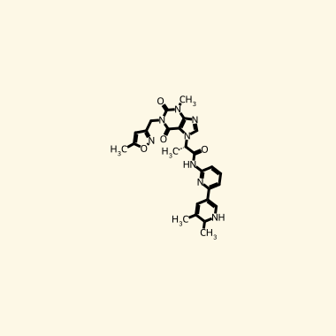 CC1=CC(c2cccc(NC(=O)[C@H](C)n3cnc4c3c(=O)n(Cc3cc(C)on3)c(=O)n4C)n2)=CNC1C